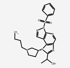 CC(O)c1nc2cnc3c(cnn3S(=O)(=O)c3ccccc3)c2n1[C@H]1CCN(CCCC(F)(F)F)C1